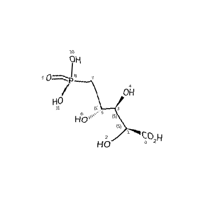 O=C(O)[C@@H](O)[C@H](O)[C@H](O)CP(=O)(O)O